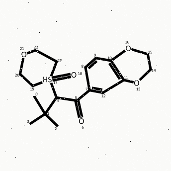 CC(C)(C)C(C(=O)c1ccc2c(c1)OCCO2)[SH]1(=O)CCOCC1